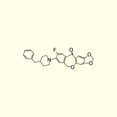 O=C1c2cc(F)c(N3CCC(Cc4ccccc4)CC3)cc2COc2cc3c(cc21)OCO3